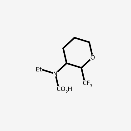 CCN(C(=O)O)C1CCCOC1C(F)(F)F